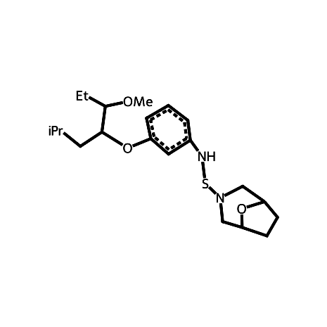 CCC(OC)C(CC(C)C)Oc1cccc(NSN2CC3CCC(C2)O3)c1